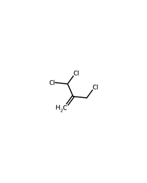 C=C(CCl)C(Cl)Cl